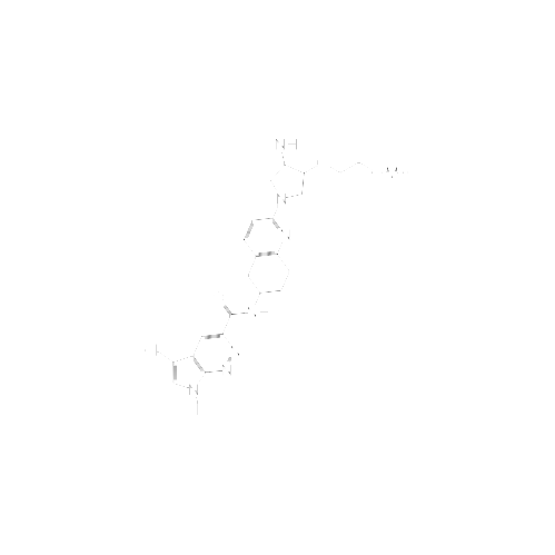 CCn1cc(Cl)c2cc(C(=O)NC3CCc4nc(N5CC(N)C(OCCOC)C5)ccc4C3)nnc21